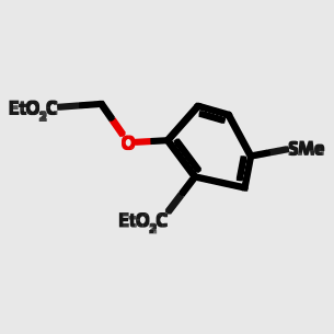 CCOC(=O)COc1ccc(SC)cc1C(=O)OCC